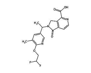 Cc1cc(C(C)N2Cc3c(ccnc3C(=O)O)C2=O)cnc1OCC(F)F